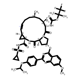 COc1ccc2c(O[C@@H]3C[C@H]4C(=O)N[C@]5(C(=O)NS(=O)(=O)C6CC6)C[C@H]5/C=C\CC[C@@H](C)C[C@@H](C)[C@H](NC(=O)OC(C)(C)C(F)(F)F)C(=O)N4C3)nc(-c3ccc(OC(C)C)cc3)nc2c1